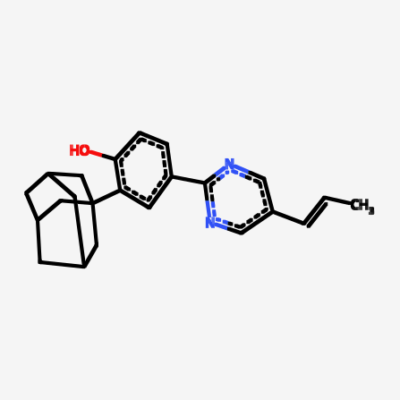 C/C=C/c1cnc(-c2ccc(O)c(C34CC5CC(CC(C5)C3)C4)c2)nc1